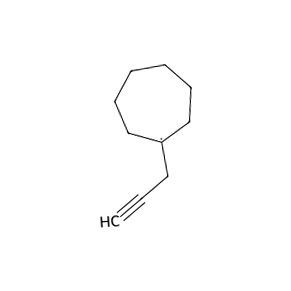 C#CC[C]1CCCCCC1